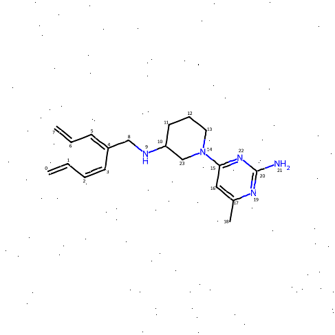 C=C/C=C\C(=C/C=C)CNC1CCCN(c2cc(C)nc(N)n2)C1